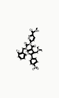 CNC(=O)c1ccc(-n2c(=O)c3c(CN(C)C)c(-c4ccc([N+](=O)[O-])cc4)sc3n(Cc3c(F)cccc3F)c2=O)nn1